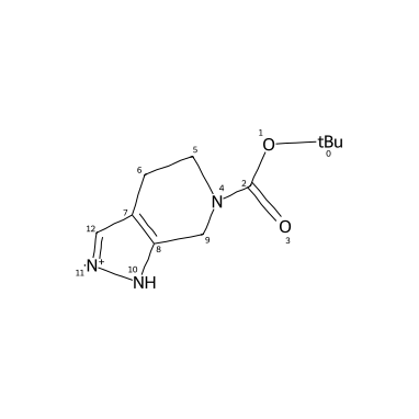 CC(C)(C)OC(=O)N1CCC2=C(C1)N[N+]=C2